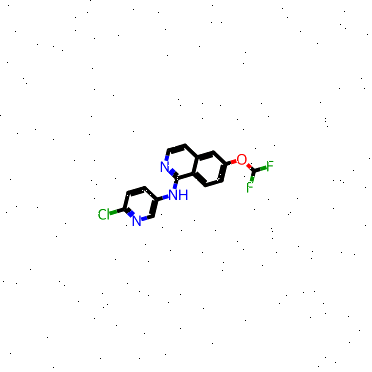 FC(F)Oc1ccc2c(Nc3ccc(Cl)nc3)nccc2c1